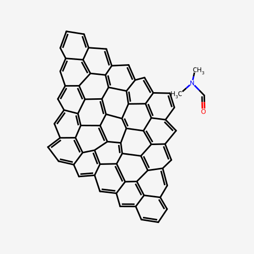 CN(C)C=O.c1cc2cc3cc4cc5ccc6cc7cc8cc9cccc%10cc%11cc%12cc%13ccc%14cc%15cc%16cc(c1)c2c1c3c2c4c3c5c6c4c7c5c8c(c9%10)c%11c6c%12c7c%13c%14c8c%15c(c%161)c2c1c3c4c(c56)c7c81